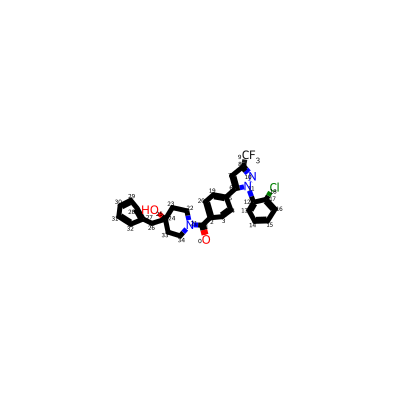 O=C(c1ccc(-c2cc(C(F)(F)F)nn2-c2ccccc2Cl)cc1)N1CCC(O)(Cc2ccccc2)CC1